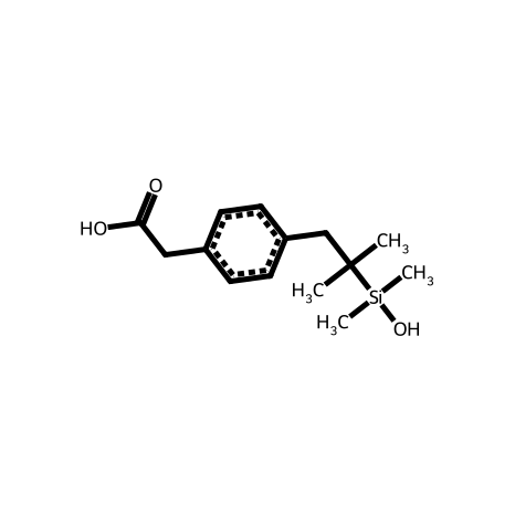 CC(C)(Cc1ccc(CC(=O)O)cc1)[Si](C)(C)O